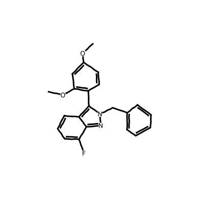 COc1ccc(-c2c3cccc(F)c3nn2Cc2ccccc2)c(OC)c1